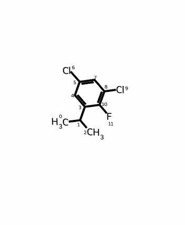 CC(C)c1cc(Cl)cc(Cl)c1F